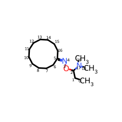 CCC(ON=C1CCCCCCCCCCC1)N(C)C